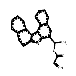 C=CC(=O)OC(C)c1cc2ccccc2c2c1sc1ccc3ccccc3c12